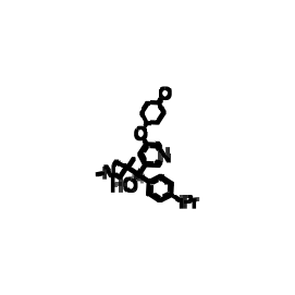 CC(C)c1ccc([C@](O)(c2cncc(OC3CCC(=O)CC3)c2)C2(C)CN(C)C2)cc1